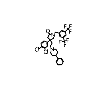 O=C1CC(CCN2CCC(c3ccccc3)CC2)(c2ccc(Cl)c(Cl)c2)CN1Cc1cc(C(F)(F)F)cc(C(F)(F)F)c1